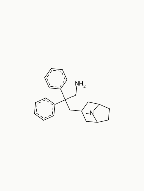 CN1C2CCC1CC(CC(CN)(c1ccccc1)c1ccccc1)C2